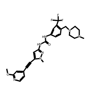 COc1cc(C#Cc2cc(NC(=O)Nc3ccc(CN4CCN(C)CC4)c(C(F)(F)F)c3)nn2C)ccn1